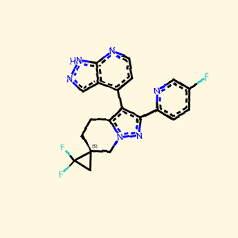 Fc1ccc(-c2nn3c(c2-c2ccnc4[nH]ncc24)CC[C@@]2(C3)CC2(F)F)nc1